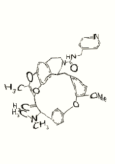 C=C1C2=C(C)Oc3cc4c(cc3O2)C(Cc2ccc(OC)c(c2)Oc2ccc(cc2)CC1N(C)C)N(C(=O)NCc1ccncc1)CC4